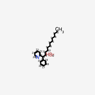 Br.CCCCCCCCCCCCC(c1ccccc1)c1ccccn1